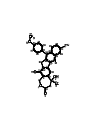 CC[C@@]1(O)CC(=O)OCc2c1cc1n(c2=O)Cc2c-1nc1cc(F)ccc1c2-c1ccc(OC(F)(F)F)cc1